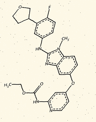 CCOC(=O)Nc1cc(Oc2ccc3c(c2)nc(Nc2ccc(F)c(C4CCOC4)c2)n3C)ccn1